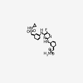 NS(=O)(=O)C=C1C=C(Nc2ncc(F)c(NC3=CC(=CS(=O)(=O)NC4CC4)CC=C3)n2)C=CC1